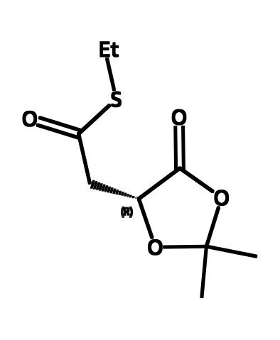 CCSC(=O)C[C@H]1OC(C)(C)OC1=O